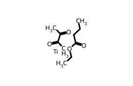 CC(=O)C(C)=O.CCCC(=O)OCC.[Ti]